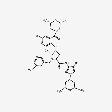 CNc1cncc(CN2C[C@H](Nc3c(C(=O)N4C[C@@H](C)O[C@@H](C)C4)cc(Br)cc3[N+](=O)[O-])C[C@H]2C(=O)Nc2nn(C3CC(C)OC(C)C3)cc2Br)c1